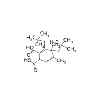 CC1=CC(C(=O)O)C(C(=O)O)=C(CC(C)(C)C)C1(C)CC(C)(C)C